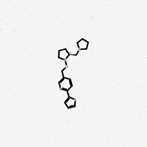 c1csc(-c2ccc(CON3CCC[C@H]3CN3CCCC3)cn2)c1